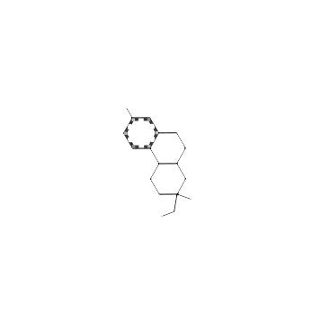 CC1(CO)CCC2c3ccc(O)cc3CCC2C1